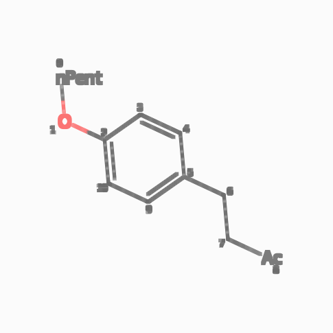 CCCCCOc1ccc(CCC(C)=O)cc1